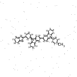 Cc1ccc(-n2c3ccccc3c3cc(-c4ccc5c(c4)c4ccccc4n5-c4cccc(-c5cc6ccccc6s5)c4)ccc32)cc1